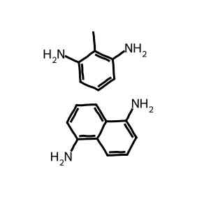 Cc1c(N)cccc1N.Nc1cccc2c(N)cccc12